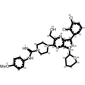 COc1ccc(NC(=N)N2CCN(c3nc4c(nc3CO)c(-c3cccc(Cl)c3Cl)nn4C3CCCCO3)CC2)cc1